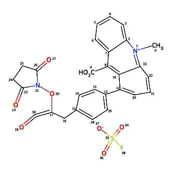 C[n+]1c2ccccc2c(C(=O)O)c2c(-c3ccc(CC(=C=O)ON4C(=O)CCC4=O)cc3)cccc21.O=S(=O)([O-])F